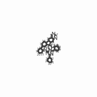 CC1(C)c2cc3ncncc3cc2-c2ccc3c4ccccc4n(-c4nc(-c5ccccc5)nc(-c5ccccc5)n4)c3c21